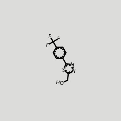 OCc1nnc(-c2ccc(C(F)(F)F)cc2)s1